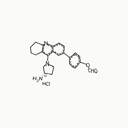 Cl.N[C@H]1CCN(c2c3c(nc4ccc(-c5ccc(OC=O)cc5)cc24)CCCC3)C1